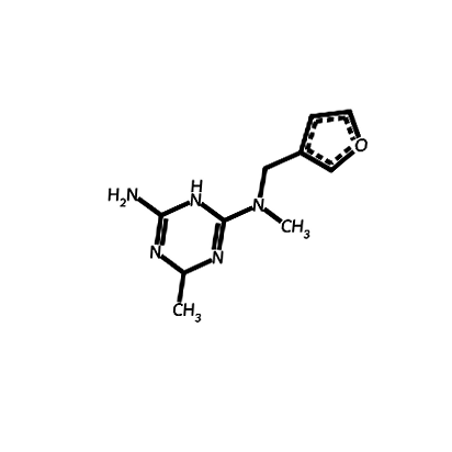 CC1N=C(N)NC(N(C)Cc2ccoc2)=N1